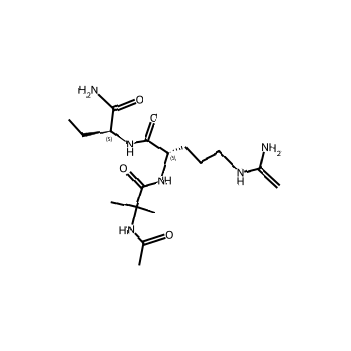 C=C(N)NCCC[C@H](NC(=O)C(C)(C)NC(C)=O)C(=O)N[C@@H](CC)C(N)=O